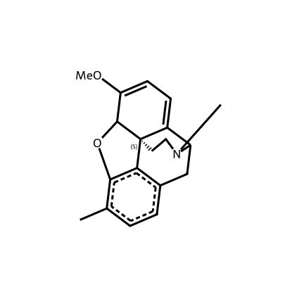 COC1=CC=C2C3Cc4ccc(C)c5c4[C@@]2(CCN3C)C1O5